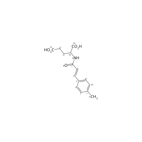 Cc1ccc(/C=C/C(=O)NC(CCC(=O)O)C(=O)O)cc1